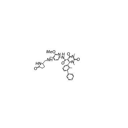 COc1nc(NC(=O)c2c(-c3cccc(-c4ccccc4)c3C)n(C)c(=O)n(C)c2=O)ccc1CNCC1CCC(=O)N1